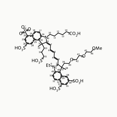 CC[N+]1=C(/C=C/C=C/C=C2/N(CCCCCC(=O)O)c3ccc4c(S(=O)(=O)[O-])cc(S(=O)(=O)O)cc4c3C2(C)CCCS(=O)(=O)O)C(C)(CCOCCOCCOC)c2c1ccc1c(S(=O)(=O)O)cc(S(=O)(=O)O)cc21